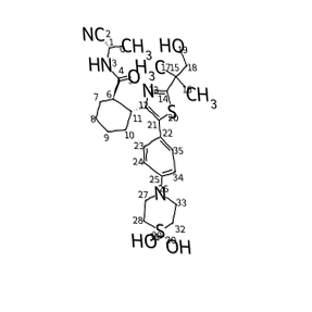 C[C@@H](C#N)NC(=O)[C@@H]1CCCC[C@H]1c1nc(C(C)(C)CO)sc1-c1ccc(N2CCS(O)(O)CC2)cc1